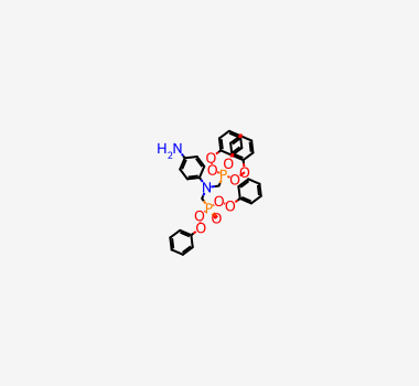 Nc1ccc(N(CP(=O)(OOc2ccccc2)OOc2ccccc2)CP(=O)(OOc2ccccc2)OOc2ccccc2)cc1